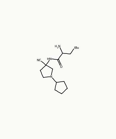 CC(C)(C)CC(N)C(=O)NC1(C#N)CCN(C2CCCC2)C1